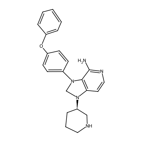 Nc1nccc2c1N(c1ccc(Oc3ccccc3)cc1)CN2[C@@H]1CCCNC1